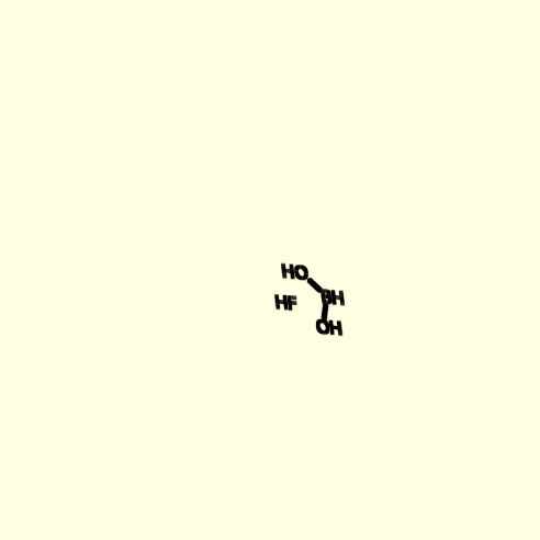 F.OBO